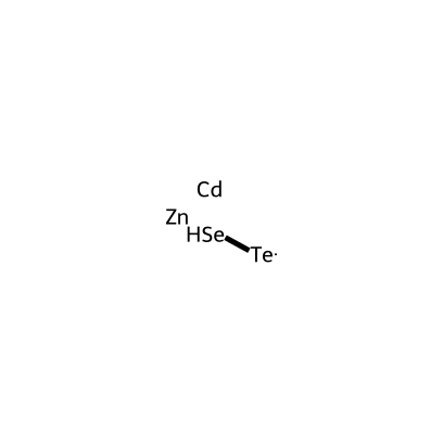 [Cd].[SeH][Te].[Zn]